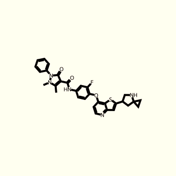 Cc1c(C(=O)Nc2ccc(Oc3ccnc4cc(C5CNC6(CC6)C5)sc34)c(F)c2)c(=O)n(-c2ccccc2)n1C